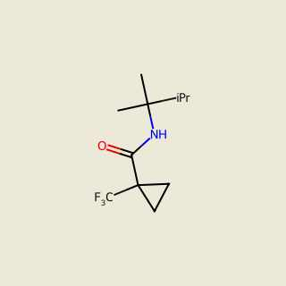 CC(C)C(C)(C)NC(=O)C1(C(F)(F)F)CC1